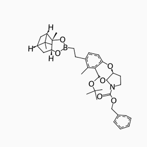 Cc1c(CCB2O[C@@H]3C[C@@H]4C[C@@H](C4(C)C)[C@]3(C)O2)ccc(O[C@H]2CCN(C(=O)OCc3ccccc3)C2)c1C(=O)OC(C)(C)C